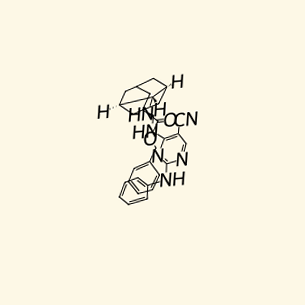 N#Cc1cnc(Nc2ccccc2)nc1NC[C@]12CC3C[C@H](C1)[C@@H](NC(=O)OCc1ccccc1)[C@@H](C3)C2